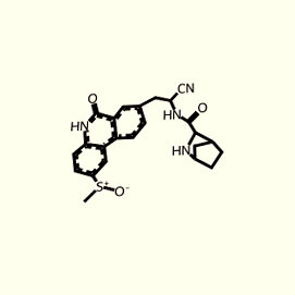 C[S+]([O-])c1ccc2[nH]c(=O)c3cc(CC(C#N)NC(=O)C4NC5CCC4C5)ccc3c2c1